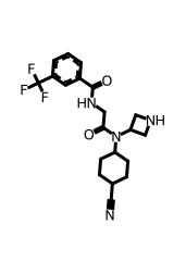 N#CC1CCC(N(C(=O)CNC(=O)c2cccc(C(F)(F)F)c2)C2CNC2)CC1